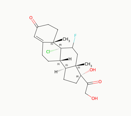 C[C@]12CCC(=O)C=C1CC[C@H]1[C@@H]3CC[C@](O)(C(=O)CO)[C@@]3(C)CC(F)[C@@]12Cl